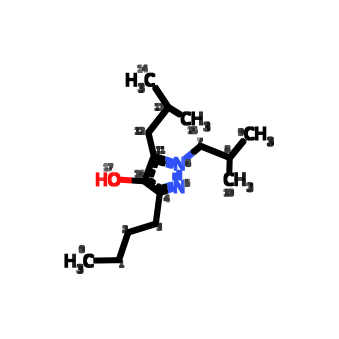 CCCCc1nn(CC(C)C)c(CC(C)C)c1O